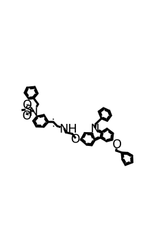 CS(=O)(=O)N(Cc1ccccc1)c1cccc([CH][CH]NCCOc2ccc3c4cc(OCc5ccccc5)ccc4n(Cc4ccccc4)c3c2)c1